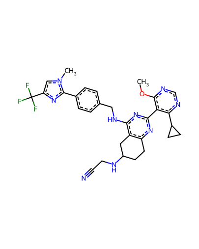 COc1ncnc(C2CC2)c1-c1nc2c(c(NCc3ccc(-c4nc(C(F)(F)F)cn4C)cc3)n1)CC(NCC#N)CC2